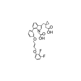 O=C(O)Cn1cc(CC2(CC(=O)O)CC2)c2cccc(-c3cccc(OC/C=C/COc4cccc(F)c4F)c3)c21